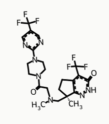 CN(CC(=O)N1CCN(c2ncc(C(F)(F)F)cn2)CC1)C[C@@]1(C)CCc2c1n[nH]c(=O)c2C(F)(F)F